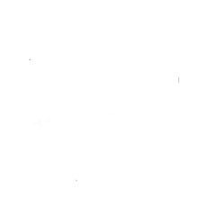 Fc1cccc2[pH]c3ccccc3c12.[LiH]